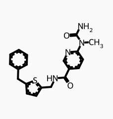 CN(C(N)=O)c1ccc(C(=O)NCc2ccc(Cc3ccccc3)s2)cn1